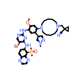 COc1cc(N2CCCCCN(CC3(C#N)CC3)CCCCC2)c(-c2cnn(C)c2)cc1Nc1ncc(Br)c(Nc2ccc3nccnc3c2P(C)(C)=O)n1